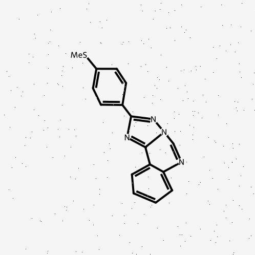 CSc1ccc(-c2nc3c4ccccc4ncn3n2)cc1